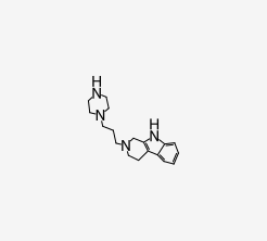 c1ccc2c3c([nH]c2c1)CN(CCCN1CCNCC1)CC3